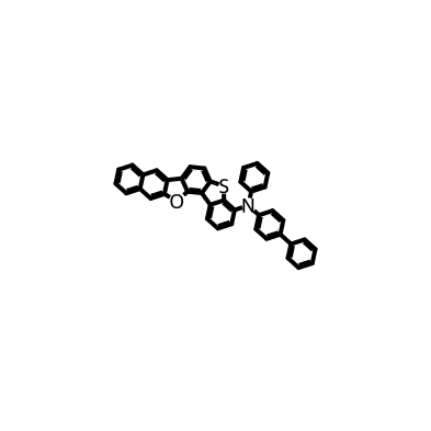 c1ccc(-c2ccc(N(c3ccccc3)c3cccc4c3sc3ccc5c6cc7ccccc7cc6oc5c34)cc2)cc1